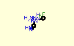 Nc1nc(NCc2cccc(F)c2F)nc(-c2ccc3cn[nH]c3c2)n1